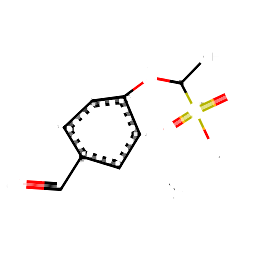 CC(Oc1ccc(C=O)cc1)S(=O)(=O)[O-].[Na+]